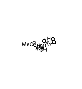 COC(=O)/C=C/C(C)NC(=O)C(C)(O)NCc1ccccc1C(=O)N[C@H](C)c1cccc2ccccc12